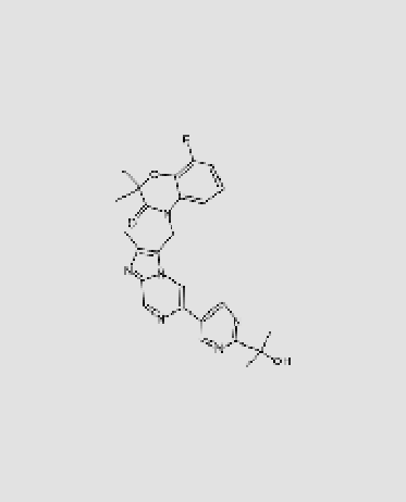 Cc1nc2cnc(-c3cnc(C(C)(C)O)nc3)cn2c1CN1C(=O)C(C)(C)Oc2c(F)cccc21